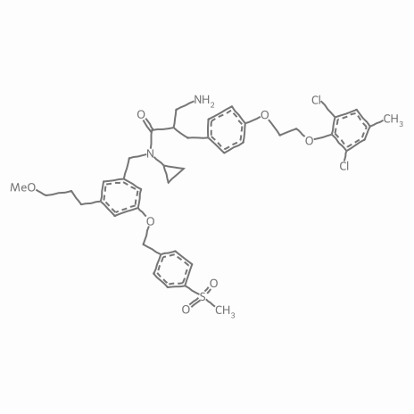 COCCCc1cc(CN(C(=O)C(CN)Cc2ccc(OCCOc3c(Cl)cc(C)cc3Cl)cc2)C2CC2)cc(OCc2ccc(S(C)(=O)=O)cc2)c1